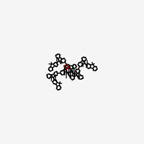 CC1(C)c2ccccc2-c2ccc(-n3c4ccccc4c4ccc(-c5ccc6c(c5)c5ccccc5n6-c5nc6cccc(-n7c8ccccc8c8cc(-c9ccc%10c%11ccccc%11n(-c%11ccc%12c(c%11)C(C)(C)c%11ccccc%11-%12)c%10c9)ccc87)c6nc5-n5c6ccccc6c6cc(-c7ccc8c9ccccc9n(-c9ccc%10c(c9)C(C)(C)c9ccccc9-%10)c8c7)ccc65)cc43)cc21